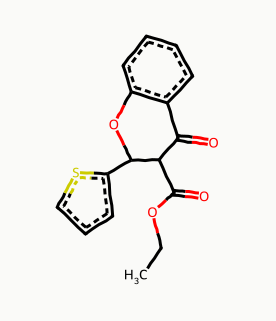 CCOC(=O)C1C(=O)c2ccccc2OC1c1cccs1